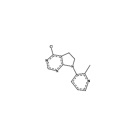 Cc1ncccc1N1CCc2c(Cl)ncnc21